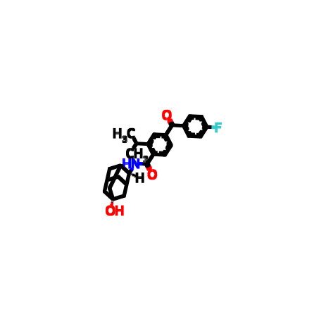 CC(C)c1cc(C(=O)c2ccc(F)cc2)ccc1C(=O)N[C@H]1C2CC3CC1C[C@](O)(C3)C2